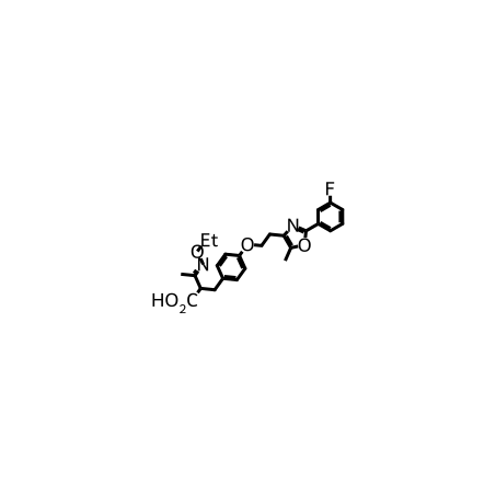 CCON=C(C)C(Cc1ccc(OCCc2nc(-c3cccc(F)c3)oc2C)cc1)C(=O)O